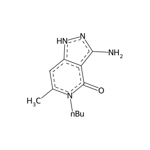 CCCCn1c(C)cc2[nH]nc(N)c2c1=O